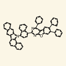 c1ccc(-c2cc3oc4nc(-c5ccc(-n6c7cc8ccccc8cc7c7ccc8ccccc8c76)c6ccccc56)nc(-c5ccccc5)c4c3cc2-c2ccccc2)cc1